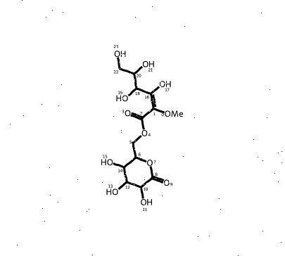 CO/C(C(=O)OCC1OC(=O)C(O)C(O)C1O)=C(\O)C(O)C(O)CO